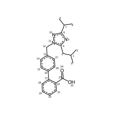 CC(C)Cc1nc(C(C)C)nn1Cc1ccc(-c2ccccc2C(=O)O)cc1